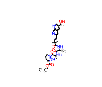 CC(C)C(NC(=O)C(C)(C)/C=C/c1cc2cc([C@@H](C)O)cnc2cn1)C(=O)N[C@@H](C)C(=O)N1CCC[C@@H](C(=O)OCC(Cl)(Cl)Cl)N1